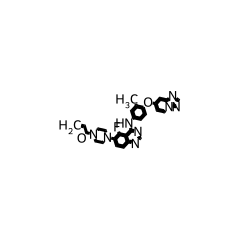 C=CC(=O)N1CCN(c2ccc3ncnc(Nc4ccc(Oc5ccn6ncnc6c5)c(C)c4)c3c2F)CC1